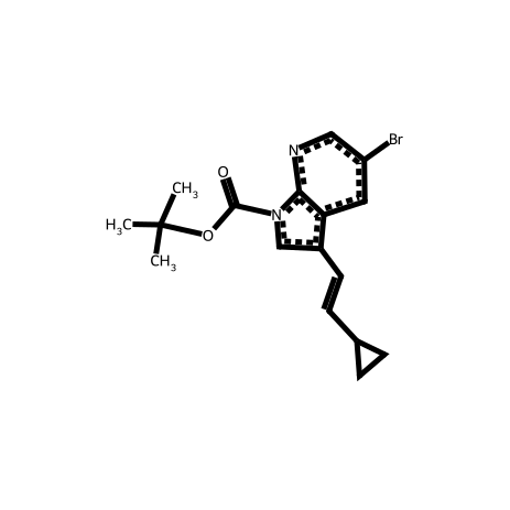 CC(C)(C)OC(=O)n1cc(C=CC2CC2)c2cc(Br)cnc21